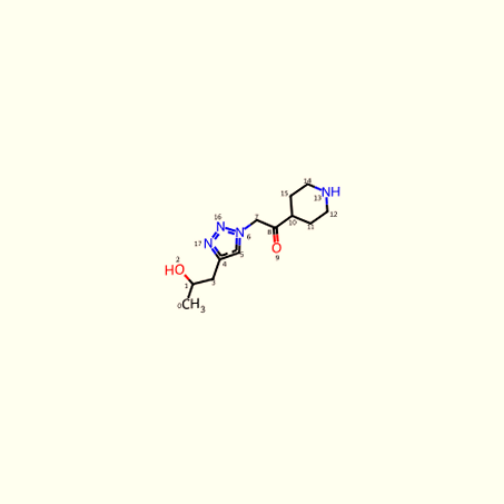 CC(O)Cc1cn(CC(=O)C2CCNCC2)nn1